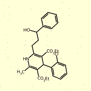 CCOC(=O)C1=C(C)NC(CCC(O)c2ccccc2)=C(C(=O)OCC)C1c1ccccc1Cl